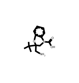 CC(C)(C)C1(CN)CN(C(=O)O)c2ccccc2O1